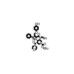 CC(C)CN(C(=O)c1nnn(-c2ccccc2)c1COc1ccc(O)cc1)[C@H]1C[C@@H](C(=O)N2CCOCC2)CN(C(=O)OC(C)(C)C)C1